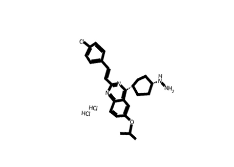 CC(C)Oc1ccc2nc(C=Cc3ccc(Cl)cc3)nc([C@H]3CC[C@@H](NN)CC3)c2c1.Cl.Cl